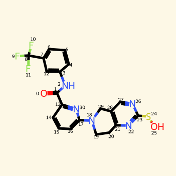 O=C(Nc1cccc(C(F)(F)F)c1)c1cccc(N2CCc3nc(SO)ncc3C2)n1